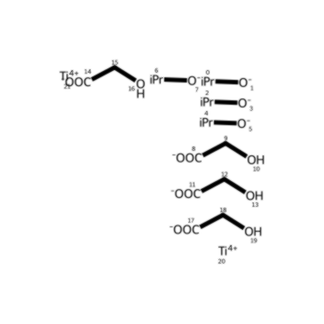 CC(C)[O-].CC(C)[O-].CC(C)[O-].CC(C)[O-].O=C([O-])CO.O=C([O-])CO.O=C([O-])CO.O=C([O-])CO.[Ti+4].[Ti+4]